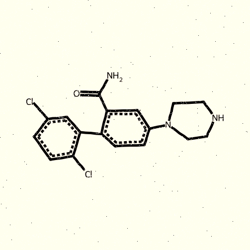 NC(=O)c1[c]c(N2CCNCC2)ccc1-c1cc(Cl)ccc1Cl